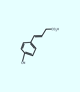 N#Cc1ccc(C=CCC(=O)O)cc1